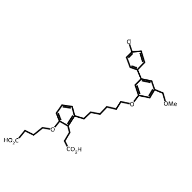 COCc1cc(OCCCCCCc2cccc(OCCCC(=O)O)c2CCC(=O)O)cc(-c2ccc(Cl)cc2)c1